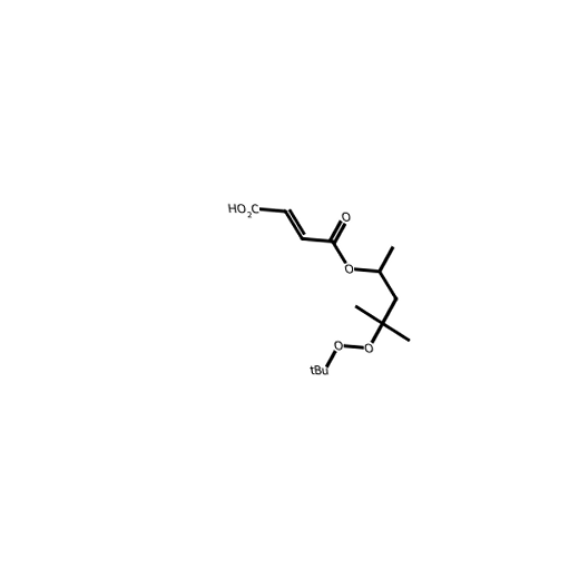 CC(CC(C)(C)OOC(C)(C)C)OC(=O)C=CC(=O)O